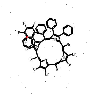 Fc1c(F)c(F)c(-c2c(Br)c3c(Br)c4nc(c(Br)c5[nH]c(c(Br)c6nc(c(-c7ccccc7)c2n3-c2ccccc2)C(c2ccccc2)=C6c2ccccc2)c(Br)c5Br)C(Br)=C4Br)c(F)c1F